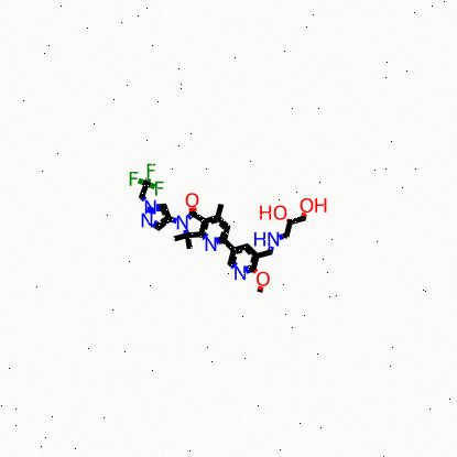 COc1ncc(-c2cc(C)c3c(n2)C(C)(C)N(c2cnn(CC(F)(F)F)c2)C3=O)cc1CNC[C@@H](O)CO